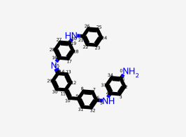 Nc1ccc(Nc2ccc(C=C3C=CC(=Nc4ccc(Nc5ccccc5)cc4)C=C3)cc2)cc1